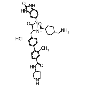 Cc1cc(C(=O)NC2CCNCC2)ccc1-c1ccc(C[C@H](NC(=O)[C@H]2CC[C@H](CN)CC2)C(=O)Nc2ccc3[nH]c(=O)[nH]c3c2)cc1.Cl